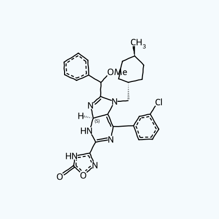 COC(C1=N[C@@H]2NC(c3noc(=O)[nH]3)=NC(c3cccc(Cl)c3)=C2N1C[C@H]1CC[C@H](C)CC1)c1ccccc1